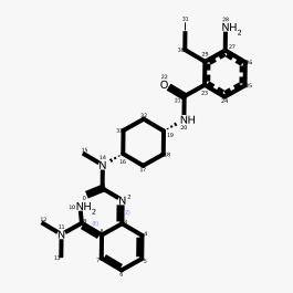 C=C(/N=C1/C=CC=C/C1=C(/N)N(C)C)N(C)[C@H]1CC[C@@H](NC(=O)c2cccc(N)c2CI)CC1